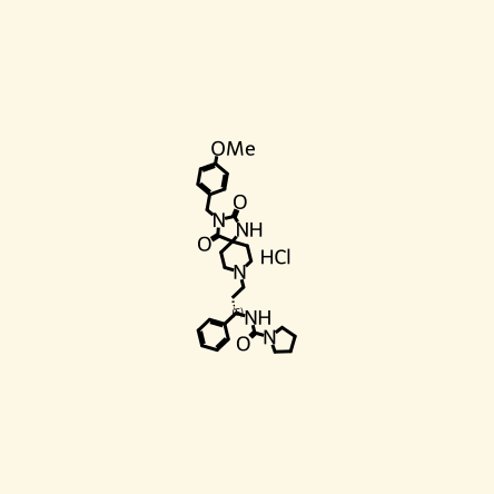 COc1ccc(CN2C(=O)NC3(CCN(CC[C@H](NC(=O)N4CCCC4)c4ccccc4)CC3)C2=O)cc1.Cl